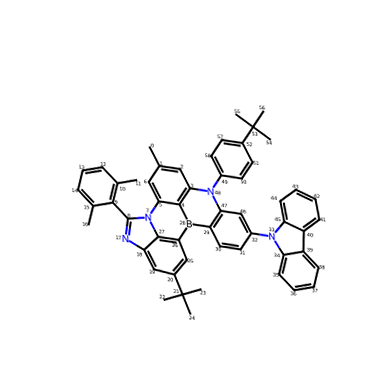 Cc1cc2c3c(c1)-n1c(-c4c(C)cccc4C)nc4cc(C(C)(C)C)cc(c41)B3c1ccc(-n3c4ccccc4c4ccccc43)cc1N2c1ccc(C(C)(C)C)cc1